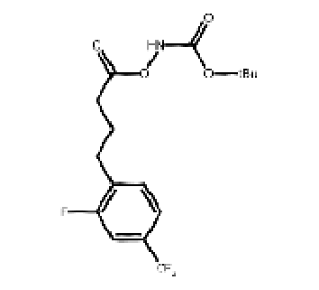 CC(C)(C)OC(=O)NOC(=O)CCCc1ccc(C(F)(F)F)cc1F